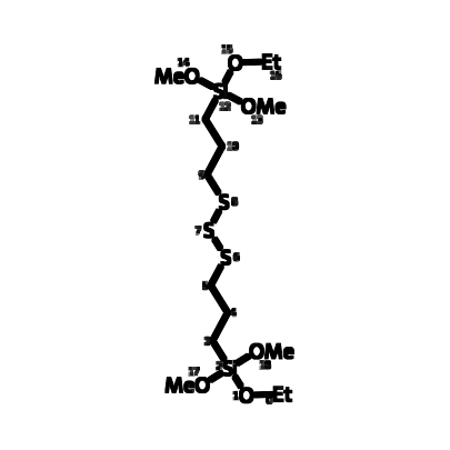 CCO[Si](CCCSSSCCC[Si](OC)(OC)OCC)(OC)OC